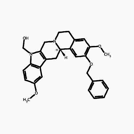 COc1ccc2c(c1)c1c(n2CO)CN2CCc3cc(OC)c(OCc4ccccc4)cc3[C@@H]2C1